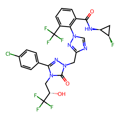 O=C(N[C@H]1C[C@H]1F)c1cccc(C(F)(F)F)c1-n1cnc(Cn2nc(-c3ccc(Cl)cc3)n(C[C@H](O)C(F)(F)F)c2=O)n1